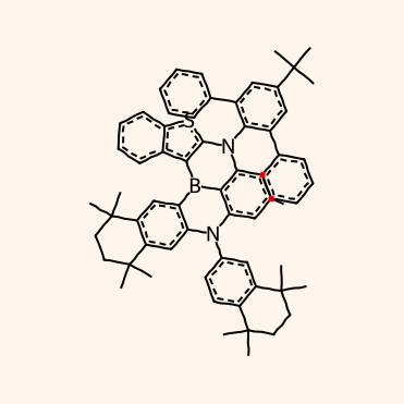 Cc1cc2c3c(c1)N(c1c(-c4ccccc4)cc(C(C)(C)C)cc1-c1ccccc1)c1sc4ccccc4c1B3c1cc3c(cc1N2c1ccc2c(c1)C(C)(C)CCC2(C)C)C(C)(C)CCC3(C)C